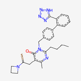 CCCCc1nc(C)c(CC(=S)N2CCC2)c(=O)n1Cc1ccc(-c2ccccc2-c2nnn[nH]2)cc1